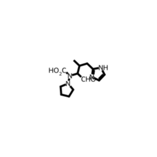 CC(Cc1ncc[nH]1)C(C=O)N(C(=O)O)N1CCCC1